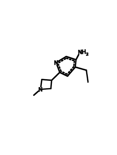 CCc1cc(C2CN(C)C2)ncc1N